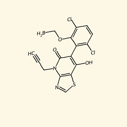 BCOc1c(Cl)ccc(Cl)c1-c1c(O)c2scnc2n(CC#C)c1=O